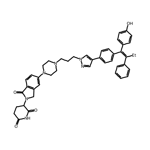 CCC(=C(c1ccc(O)cc1)c1ccc(-c2cnn(CCCN3CCN(c4ccc5c(c4)CN(C4CCC(=O)NC4=O)C5=O)CC3)c2)cc1)c1ccccc1